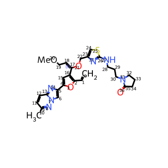 C=Cc1oc(-c2cn3nc(C)ccc3n2)cc1/C(=C\COC)OCc1csc(NCCCN2CCCC2=O)n1